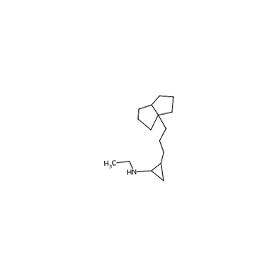 CCNC1CC1CCCC12CCCC1CCC2